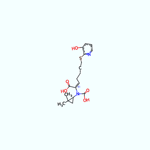 CC1(C)CC1N(C(=O)O)/C(=C/CCCCSc1ncccc1O)C(=O)O